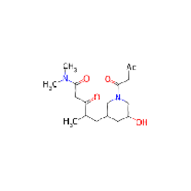 CC(=O)CC(=O)N1CC(O)CC(CC(C)C(=O)CC(=O)N(C)C)C1